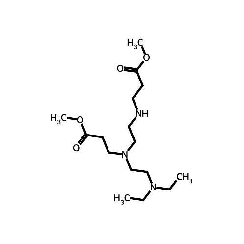 CCN(CC)CCN(CCNCCC(=O)OC)CCC(=O)OC